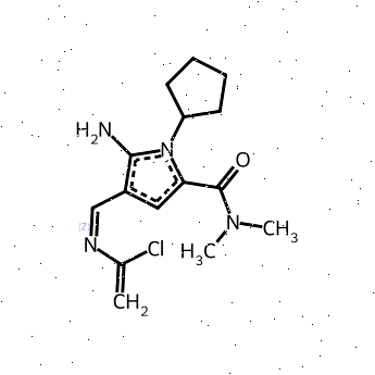 C=C(Cl)/N=C\c1cc(C(=O)N(C)C)n(C2CCCC2)c1N